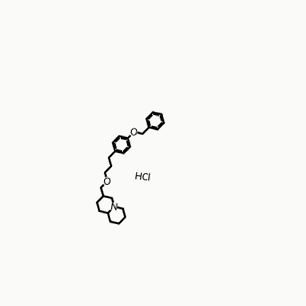 Cl.c1ccc(COc2ccc(CCCOCC3CCC4CCCCN4C3)cc2)cc1